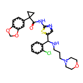 O=C(Nc1ncc(C(NCCCN2CCOCC2)c2ccccc2Cl)s1)C1(c2ccc3c(c2)OCO3)CC1